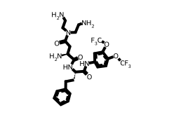 NCCN(CCN)C(=O)C[C@H](N)C(=O)N[C@@H](CCc1ccccc1)C(=O)Nc1ccc(OC(F)(F)F)c(OC(F)(F)F)c1